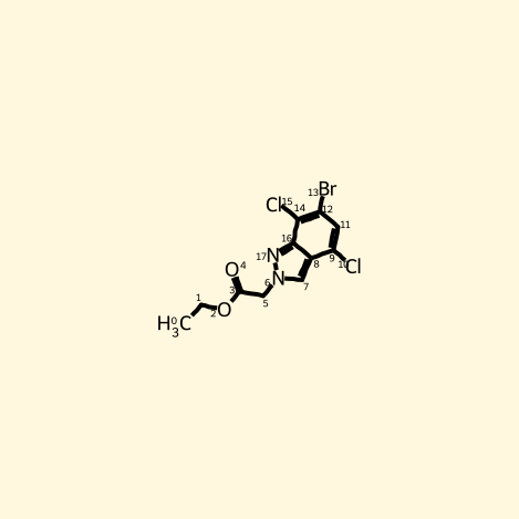 CCOC(=O)Cn1cc2c(Cl)cc(Br)c(Cl)c2n1